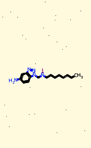 CCCCCCCCN(I)Cn1nnc2cc(N)ccc21